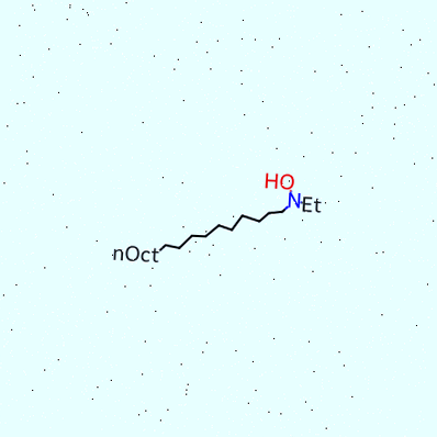 CCCCCCCCCCCCCCCCCCN(O)CC